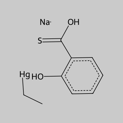 C[CH2][Hg].OC(=S)c1ccccc1O.[Na]